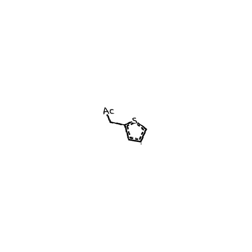 CC(=O)Cc1c[c]cs1